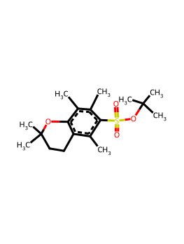 Cc1c(C)c(S(=O)(=O)OC(C)(C)C)c(C)c2c1OC(C)(C)CC2